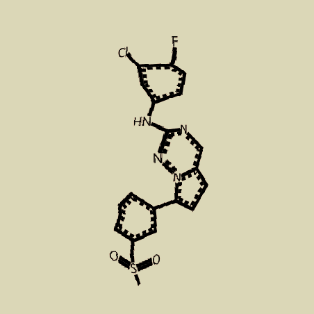 CS(=O)(=O)c1cccc(-c2ccc3cnc(Nc4ccc(F)c(Cl)c4)nn23)c1